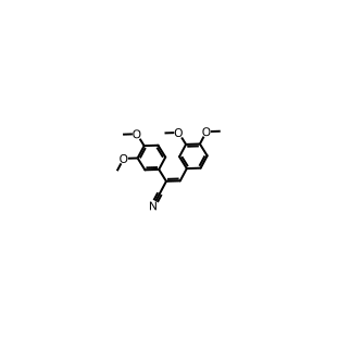 COc1ccc(/C=C(/C#N)c2ccc(OC)c(OC)c2)cc1OC